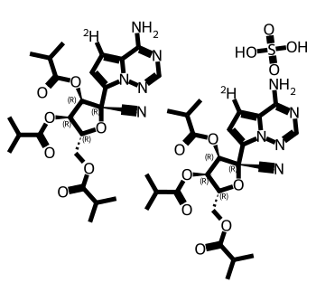 O=S(=O)(O)O.[2H]c1cc([C@]2(C#N)O[C@H](COC(=O)C(C)C)[C@@H](OC(=O)C(C)C)[C@H]2OC(=O)C(C)C)n2ncnc(N)c12.[2H]c1cc([C@]2(C#N)O[C@H](COC(=O)C(C)C)[C@@H](OC(=O)C(C)C)[C@H]2OC(=O)C(C)C)n2ncnc(N)c12